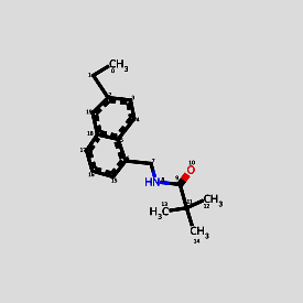 CCc1ccc2c(CNC(=O)C(C)(C)C)cccc2c1